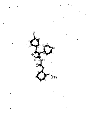 CCCOc1ccccc1CC(=O)Nc1onc(-c2ccc(F)cc2)c1-c1ccncn1